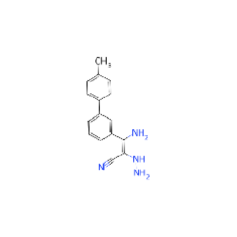 Cc1ccc(-c2cccc(/C(N)=C(\C#N)NN)c2)cc1